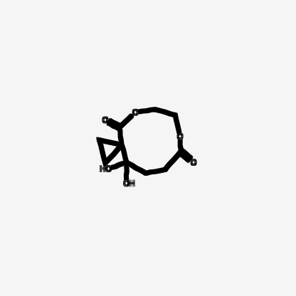 O=C1CCC(O)(O)C2(CC2)C(=O)OCCO1